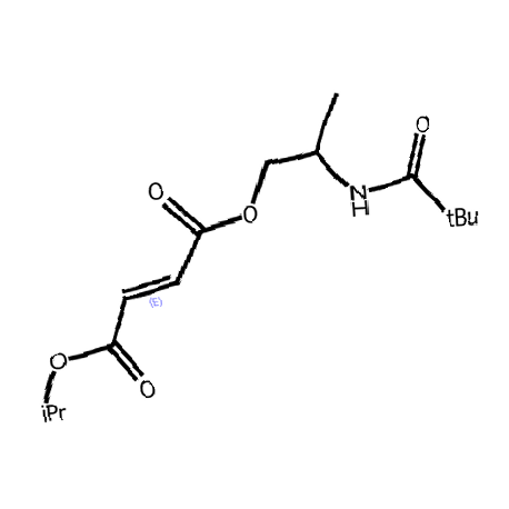 CC(COC(=O)/C=C/C(=O)OC(C)C)NC(=O)C(C)(C)C